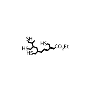 CCOC(=O)C=C(C=CCC(CS)CC(CS)C(C)CS)CS